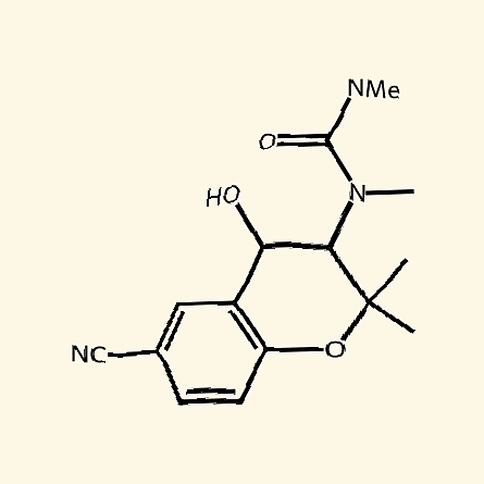 CNC(=O)N(C)C1C(O)c2cc(C#N)ccc2OC1(C)C